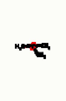 CCCCCCCCOC=C(C(=O)OCCCCCCCC)C(=O)OCCCCCCCC